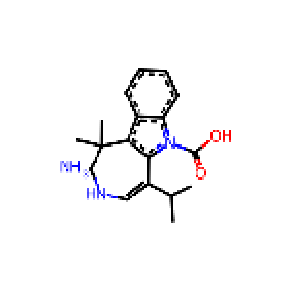 CC(C)C1=CNCC(C)(C)c2c1n(C(=O)O)c1ccccc21.N